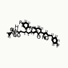 O=C(CCCCC1C=C2C(=O)C(c3cc(Cc4ccc(F)cc4)on3)C=CC2=CN1c1ccc(F)cc1)NS(=O)(=O)C1CC1